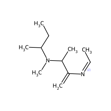 C=C(/N=C\C)C(C)N(C)C(C)CC